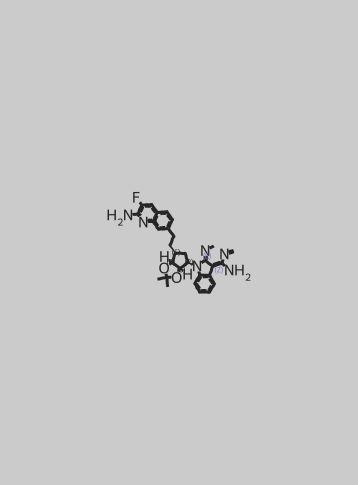 C=N/C(N)=C1\C(=N/C)N([C@@H]2C[C@H](CCc3ccc4cc(F)c(N)nc4c3)[C@H]3OC(C)(C)O[C@H]32)c2ccccc21